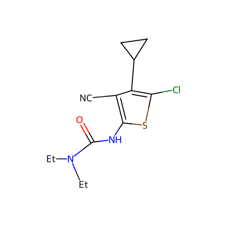 CCN(CC)C(=O)Nc1sc(Cl)c(C2CC2)c1C#N